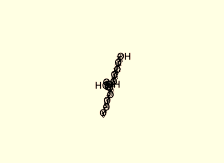 COCCOCCOCCOCCOCCOCCOCCOCCOCCO.O=S(=O)(O)O